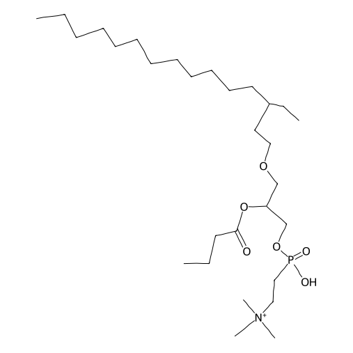 CCCCCCCCCCCCC(CC)CCOCC(COP(=O)(O)CC[N+](C)(C)C)OC(=O)CCC